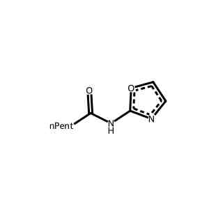 CCCCCC(=O)Nc1ncco1